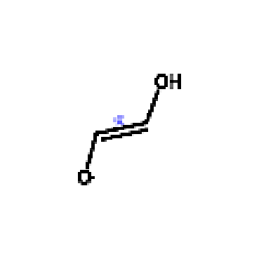 [O]/C=C/O